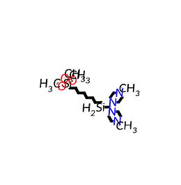 CO[Si](CCCCCCCC[SiH2]C(N1CCN(C)CC1)N1CCN(C)CC1)(OC)OC